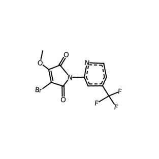 COC1=C(Br)C(=O)N(c2cc(C(F)(F)F)ccn2)C1=O